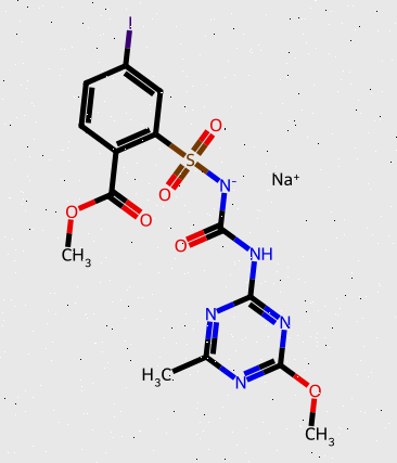 COC(=O)c1ccc(I)cc1S(=O)(=O)[N-]C(=O)Nc1nc(C)nc(OC)n1.[Na+]